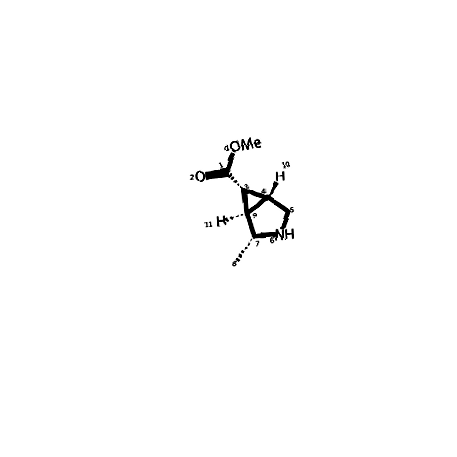 COC(=O)[C@@H]1[C@@H]2CN[C@H](C)[C@H]21